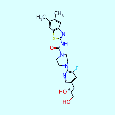 Cc1cc2nc(NC(=O)N3CCN(c4ncc(C[C@@H](O)CO)cc4F)CC3)sc2cc1C